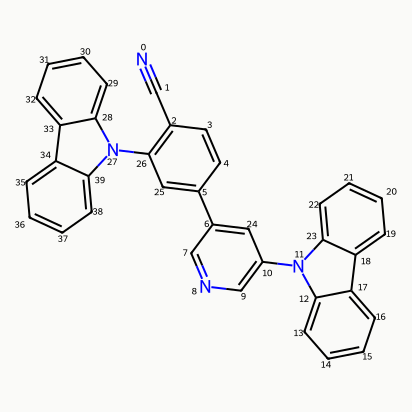 N#Cc1ccc(-c2cncc(-n3c4ccccc4c4ccccc43)c2)cc1-n1c2ccccc2c2ccccc21